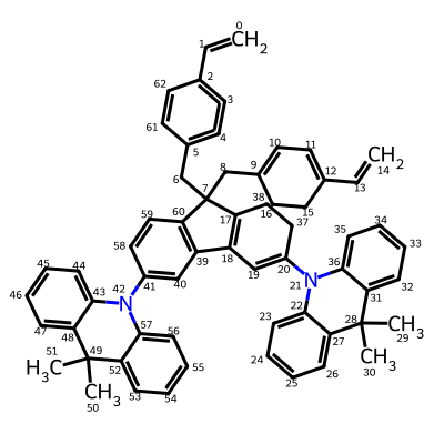 C=CC1=C=C=C(CC2(CC3=CC=C(C=C)CC3)C3=C(C=C(N4c5ccccc5C(C)(C)c5ccccc54)CC3)c3cc(N4c5ccccc5C(C)(C)c5ccccc54)ccc32)C=C1